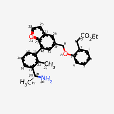 CCOC(=O)Cc1ccccc1OCc1cc(-c2cccc([C@@H](C)N)c2C)c2occc2c1